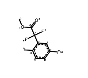 COC(=O)C(F)(F)c1cc(F)ccc1C